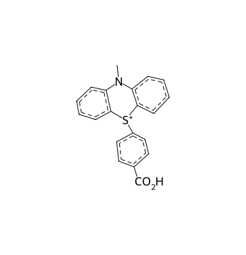 CN1c2ccccc2[S+](c2ccc(C(=O)O)cc2)c2ccccc21